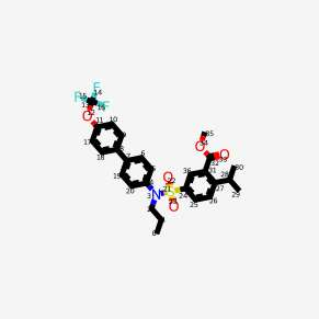 CCCN(c1ccc(-c2ccc(OC(F)(F)F)cc2)cc1)S(=O)(=O)c1ccc(C(C)C)c(C(=O)OC)c1